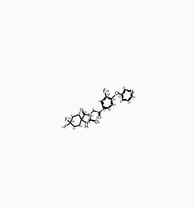 O=C(CN1C(=O)NC2(CCC(F)(F)CC2)C1=O)c1ccc(Oc2cccnc2)c(F)c1